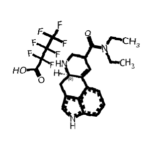 CCN(CC)C(=O)C1C=C2c3cccc4[nH]cc(c34)C[C@H]2NC1.O=C(O)C(F)(F)C(F)(F)C(F)(F)F